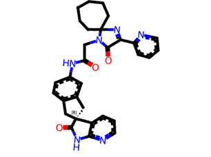 O=C(CN1C(=O)C(c2ccccn2)=NC12CCCCCC2)Nc1ccc2c(c1)C[C@@]1(C2)C(=O)Nc2ncccc21